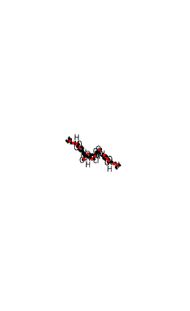 CCN(CC)CCCNS(=O)(=O)c1ccc(N=NC(C(C)=O)C(=O)Nc2cc(Cl)c(NC(=O)C(N=Nc3ccc(S(=O)(=O)NCCCN(CC)CC)cc3)C(C)=O)cc2C)cc1